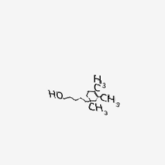 CC1=C(C)CC(C)(CCCCCO)CC1